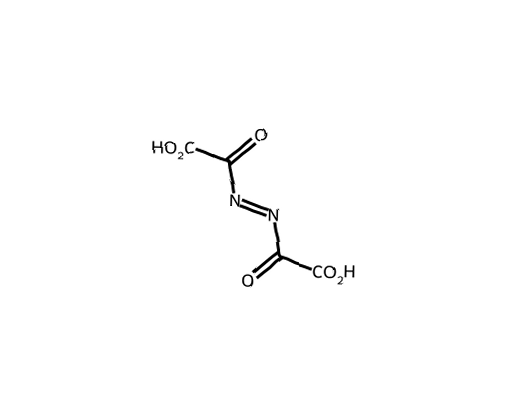 O=C(O)C(=O)N=NC(=O)C(=O)O